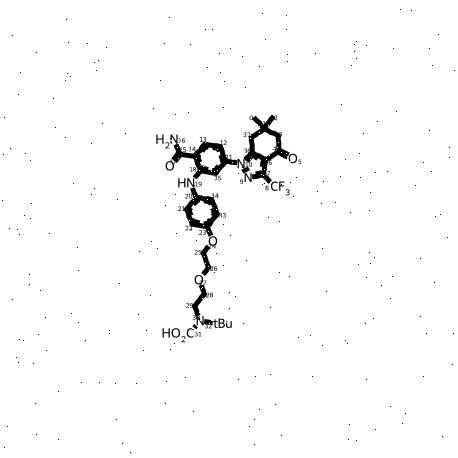 CC1(C)CC(=O)c2c(C(F)(F)F)nn(-c3ccc(C(N)=O)c(Nc4ccc(OCCOCCN(C(=O)O)C(C)(C)C)cc4)c3)c2C1